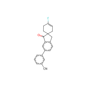 N#Cc1cccc(-c2ccc3c(c2)C(=O)C2(CC=C(F)CC2)C3)c1